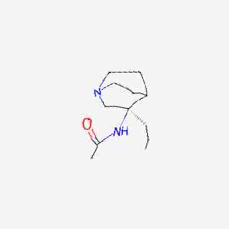 CC[C@]1(NC(C)=O)CN2CCC1CC2